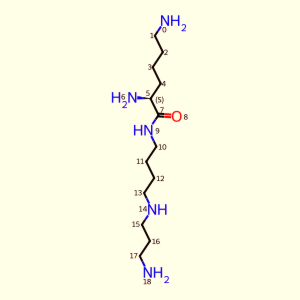 NCCCC[C@H](N)C(=O)NCCCCNCCCN